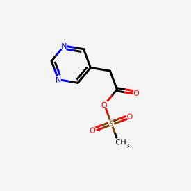 CS(=O)(=O)OC(=O)Cc1cncnc1